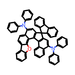 c1ccc(N(c2ccccc2)c2cc3c(c4ccccc24)-c2c(cc(N(c4ccccc4)c4ccccc4)c4ccc5c6ccccc6oc5c24)C32c3ccccc3-c3ccccc32)cc1